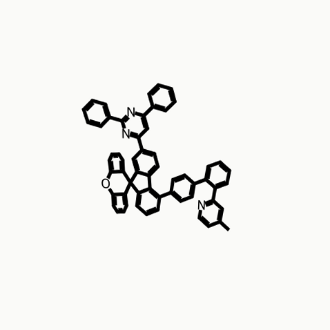 Cc1ccnc(-c2ccccc2-c2ccc(-c3cccc4c3-c3ccc(-c5cc(-c6ccccc6)nc(-c6ccccc6)n5)cc3C43c4ccccc4Oc4ccccc43)cc2)c1